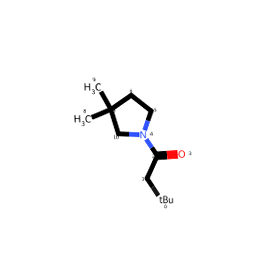 CC(C)(C)CC(=O)N1CCC(C)(C)C1